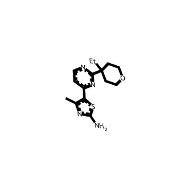 CCC1(c2nccc(-c3sc(N)nc3C)n2)CCOCC1